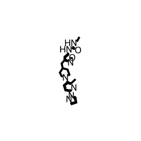 CCNC(=O)Nc1cc(CC2CCN(c3ccc(-n4cccn4)nc3C)CC2)no1